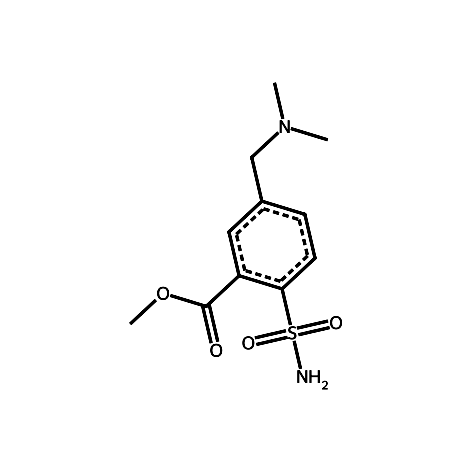 COC(=O)c1cc(CN(C)C)ccc1S(N)(=O)=O